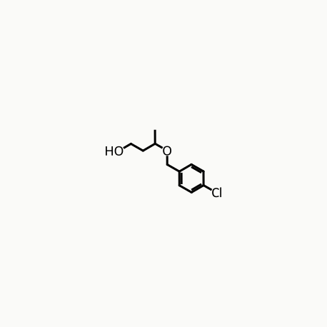 CC(CCO)OCc1ccc(Cl)cc1